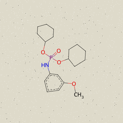 COc1cccc(NP(=O)(OC2CCCCC2)OC2CCCCC2)c1